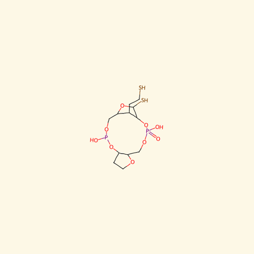 O=P1(O)OCC2OCCC2OP(O)OCC2OC(S)C(O1)C2CCS